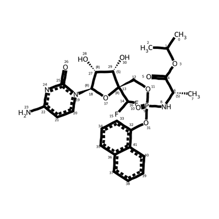 CC(C)OC(=O)[C@H](C)NP(=O)(OC[C@@]1(C(F)F)O[C@@H](n2ccc(N)nc2=O)[C@H](O)[C@@H]1O)Oc1cccc2ccccc12